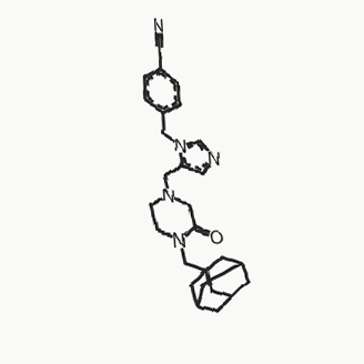 N#Cc1ccc(Cn2cncc2CN2CCN(CC34CC5CC(CC(C5)C3)C4)C(=O)C2)cc1